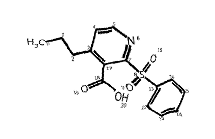 CCCc1ccnc(S(=O)(=O)c2ccccc2)c1C(=O)O